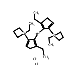 CCC1=[C]([Hf+2][C]2=C(CC)CC=C2[Si]2(CC)CCC2)C([Si]2(CC)CCC2)=CC1.[Cl-].[Cl-]